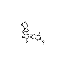 COc1ccc(CN(C=O)C[C@@]2(c3cc4cccnc4o3)NC(=O)NC2=O)c(C)c1